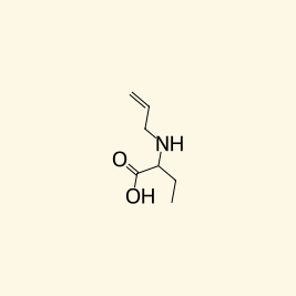 C=CCNC(CC)C(=O)O